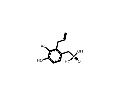 C=CCc1c(CP(=O)(O)O)ccc(O)c1C(C)=O